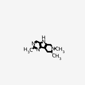 Cc1ncc2[nH]c3c(c2n1)C[C@H](C)N(C)C3